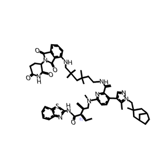 C=C(CN(C)c1ccc(-c2cnn(CC3(C)CC4CCC(C4)C3)c2C)c(C(=C)NCCC(C)(C)CC(C)(C)CNc2cccc3c2C(=O)N(C2CCC(=O)NC2=O)C3=O)n1)/C(=C\C)C(=O)Nc1nc2ccccc2s1